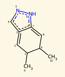 CC1C=c2cn[nH]c2=CC1C